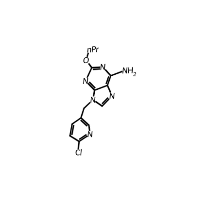 CCCOc1nc(N)c2ncn(Cc3ccc(Cl)nc3)c2n1